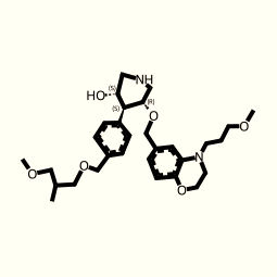 COCCCN1CCOc2ccc(CO[C@H]3CNC[C@@H](O)[C@@H]3c3ccc(COCC(C)COC)cc3)cc21